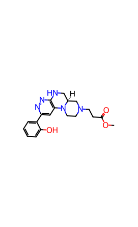 COC(=O)CCN1CCN2c3cc(-c4ccccc4O)nnc3NC[C@H]2C1